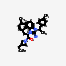 COCC1CN(C(=O)C(Cc2ccc(C)cc2)n2c(=N)n(C(C)c3ccc(C)cc3)c3ccccc32)C1